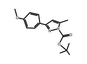 COc1ccc(-c2cc(C)n(C(=O)OC(C)(C)C)n2)cc1